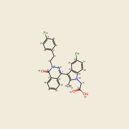 Cc1c(-c2nn(CCc3ccc(F)cc3)c(=O)c3ccccc23)c2cc(F)ccc2n1CC(=O)O